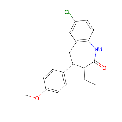 CCC1C(=O)Nc2ccc(Cl)cc2CC1c1ccc(OC)cc1